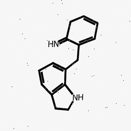 N=C1CC=CC=C1Cc1cccc2c1NCC2